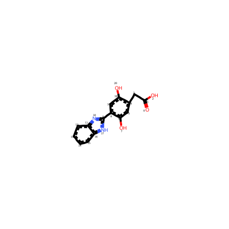 O=C(O)Cc1cc(O)c(-c2nc3ccccc3[nH]2)cc1O